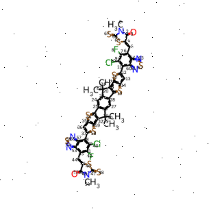 CN1C(=O)/C(=C/c2c(F)c(Cl)c(-c3cc4sc5c(c4s3)C(C)(C)c3cc4c(cc3-5)C(C)(C)c3c-4sc4cc(-c5c(Cl)c(F)c(/C=C6\SC(=S)N(C)C6=O)c6nsnc56)sc34)c3nsnc23)SC1=S